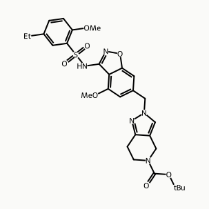 CCc1ccc(OC)c(S(=O)(=O)Nc2noc3cc(Cn4cc5c(n4)CCN(C(=O)OC(C)(C)C)C5)cc(OC)c23)c1